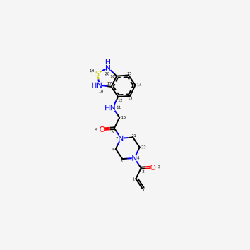 C=CC(=O)N1CCN(C(=O)CNc2cccc3c2NSN3)CC1